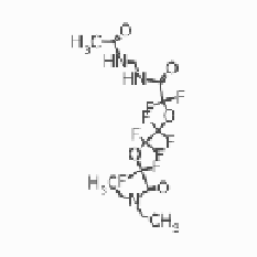 CCN(CC)C(=O)C(F)(F)OC(F)(F)C(F)(F)OC(F)(F)C(=O)NCNC(C)=O